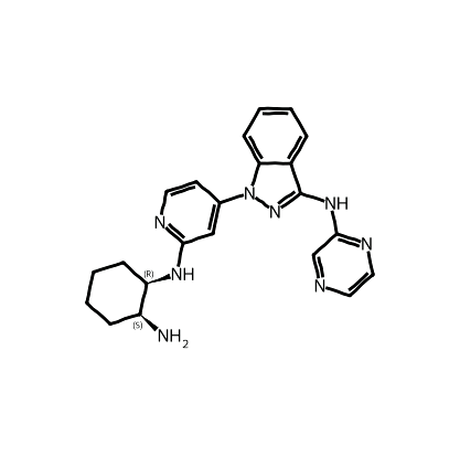 N[C@H]1CCCC[C@H]1Nc1cc(-n2nc(Nc3cnccn3)c3ccccc32)ccn1